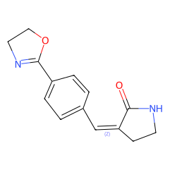 O=C1NCC/C1=C/c1ccc(C2=NCCO2)cc1